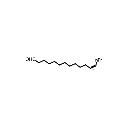 CCC/C=C\CCCCCCCCCCC=O